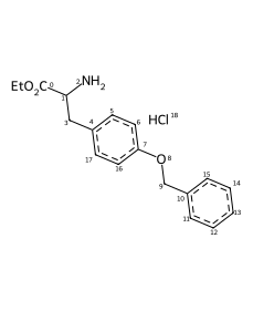 CCOC(=O)C(N)Cc1ccc(OCc2ccccc2)cc1.Cl